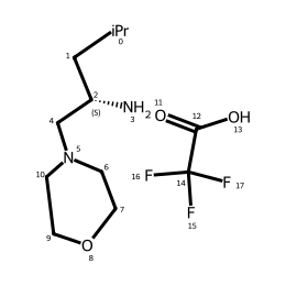 CC(C)C[C@H](N)CN1CCOCC1.O=C(O)C(F)(F)F